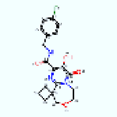 O=C(NCc1ccc(F)cc1)c1nc2n(c(=O)c1O)CCOCC21CCC1